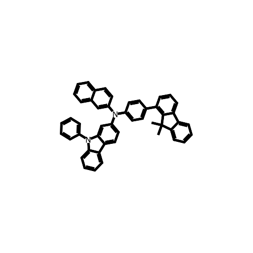 CC1(C)c2ccccc2-c2cccc(-c3ccc(N(c4ccc5ccccc5c4)c4ccc5c6ccccc6n(-c6ccccc6)c5c4)cc3)c21